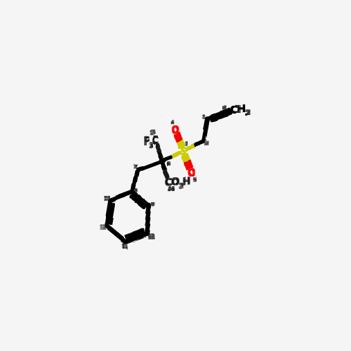 C=CCS(=O)(=O)C(Cc1ccccc1)(C(=O)O)C(F)(F)F